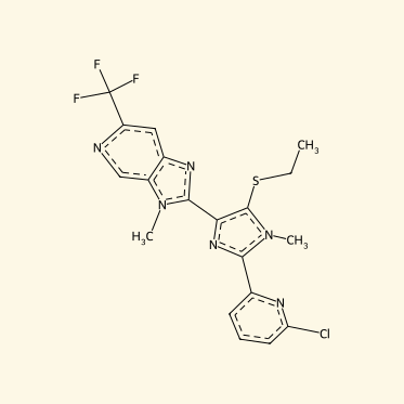 CCSc1c(-c2nc3cc(C(F)(F)F)ncc3n2C)nc(-c2cccc(Cl)n2)n1C